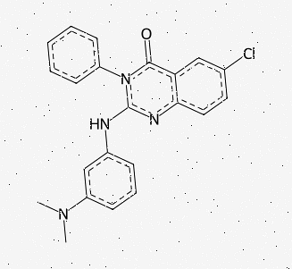 CN(C)c1cccc(Nc2nc3ccc(Cl)cc3c(=O)n2-c2ccccc2)c1